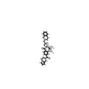 CC1(C)CN(C[C@H](O)CN2CCc3ccccc3C2)C(=O)c2ccc(C(=O)N3CCn4cccc4C3)cc2O1